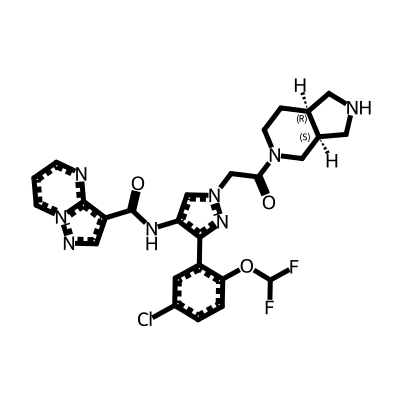 O=C(Nc1cn(CC(=O)N2CC[C@H]3CNC[C@H]3C2)nc1-c1cc(Cl)ccc1OC(F)F)c1cnn2cccnc12